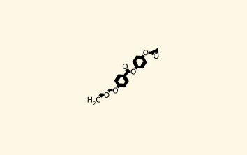 C=COCOc1ccc(C(=O)Oc2ccc(OC3CO3)cc2)cc1